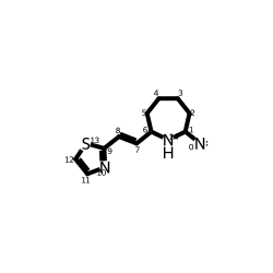 [N]C1CCCCC(C=Cc2nccs2)N1